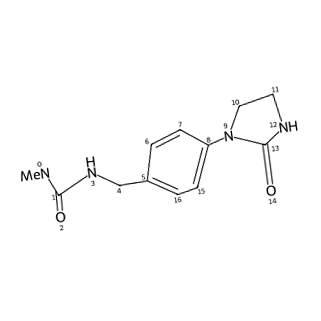 CNC(=O)NCc1ccc(N2CCNC2=O)cc1